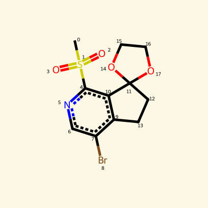 CS(=O)(=O)c1ncc(Br)c2c1C1(CC2)OCCO1